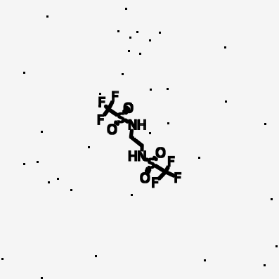 O=S(=O)(NCCNS(=O)(=O)C(F)(F)F)C(F)(F)F